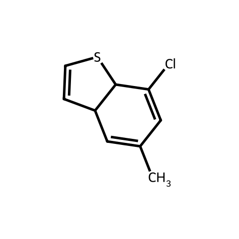 CC1=CC2C=CSC2C(Cl)=C1